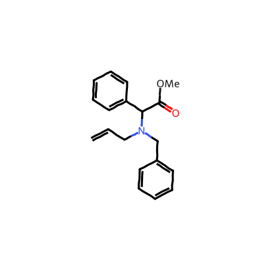 C=CCN(Cc1ccccc1)C(C(=O)OC)c1ccccc1